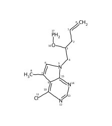 C=CCC(Cn1cc(C)c2c(Cl)ncnc21)OP